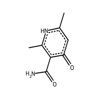 Cc1cc(=O)c(C(N)=O)c(C)[nH]1